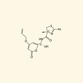 C=CCOc1cc([C@@H](CCC)NC(=O)[C@]2(C)CSC(C(C)=O)=N2)oc(=O)c1